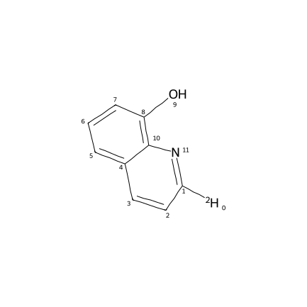 [2H]c1ccc2cccc(O)c2n1